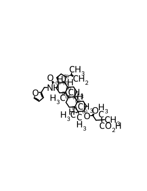 C=C(C)[C@@H]1CC[C@]2(C(=O)NCc3ccco3)CC[C@]3(C)[C@H](CC[C@@H]4[C@@]5(C)CC[C@H](OC(=O)CC(C)(C)C(=O)O)C(C)(C)[C@@H]5CC[C@]43C)[C@@H]12